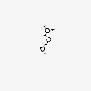 COc1cccc(NC(=O)C2CCCN(C(=O)c3cc(C(F)(F)F)cc(C(F)(F)F)c3)C2)c1